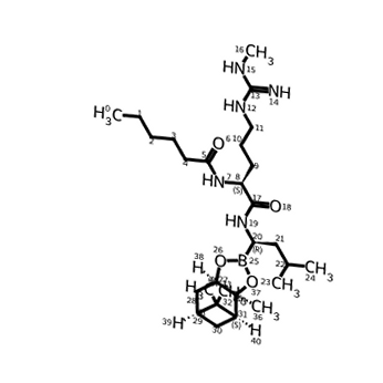 CCCCCC(=O)N[C@@H](CCCNC(=N)NC)C(=O)N[C@@H](CC(C)C)B1O[C@@H]2C[C@@H]3C[C@@H](C3(C)C)[C@]2(C)O1